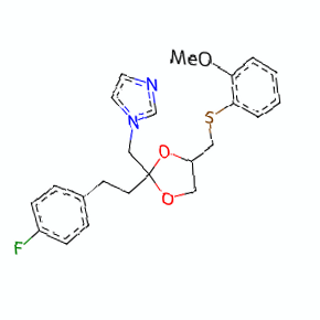 COc1ccccc1SCC1COC(CCc2ccc(F)cc2)(Cn2ccnc2)O1